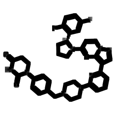 O=C1CCN(c2ccc(CN3CCN(c4cccc(-c5cnn6ccc(N7CCC[C@@H]7c7cc(F)ccc7F)nc56)n4)CC3)cc2)C(=O)N1